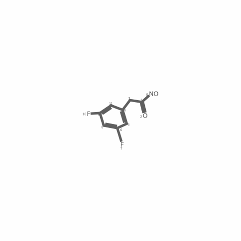 O=NC(=O)Cc1cc(F)cc(F)c1